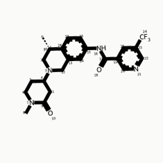 C[C@H]1CN(C2CCN(C)C(=O)C2)Cc2cc(NC(=O)c3cncc(C(F)(F)F)c3)ccc21